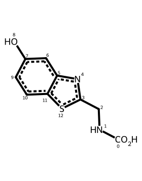 O=C(O)NCc1nc2cc(O)ccc2s1